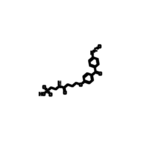 O=C=Nc1ccc(C(=O)c2ccc(OCCCC(=O)NCCS(=O)(=O)O)cc2)cc1